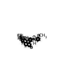 COc1cccc(NC(=O)c2ccc([C@H]3CC4(C)[C@@H](CC[C@@]4(O)C(F)(F)C(F)(F)F)C4CCC5=CC(=O)CCC5=C43)cc2)c1